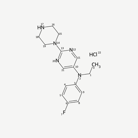 CCN(c1ccc(F)cc1)c1cnc(N2CCNCC2)nc1.Cl